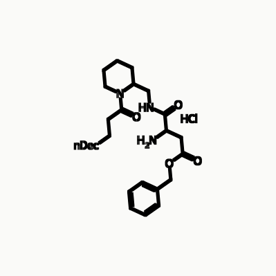 CCCCCCCCCCCCC(=O)N1CCCCC1CNC(=O)C(N)CC(=O)OCc1ccccc1.Cl